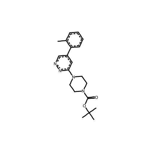 Cc1ccccc1-c1cnnc(N2CCN(C(=O)OC(C)(C)C)CC2)c1